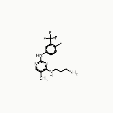 Cc1cnc(Nc2ccc(F)c(C(F)(F)F)c2)nc1NCCCN